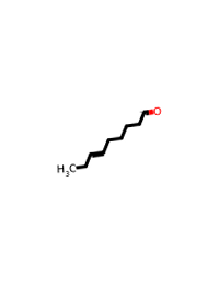 CC/C=C/CCCC[C]=O